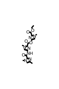 CCOC(=O)c1nc(OC(=O)c2nc(NC(=O)c3nc(C)cn3C)cn2C)cn1C